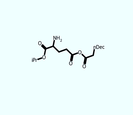 CCCCCCCCCCCC(=O)OC(=O)CCC(N)C(=O)OC(C)C